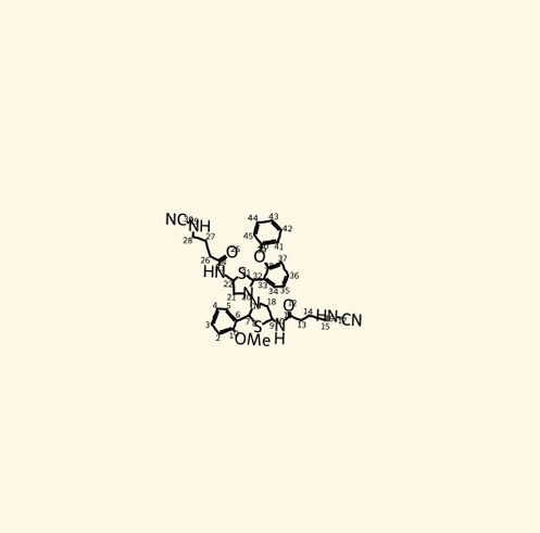 COc1ccccc1C1SC(NC(=O)CCCNC#N)CN1N1CC(NC(=O)CCCNC#N)SC1c1ccccc1Oc1ccccc1